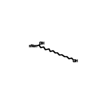 CCCCCCCCCC(O)CCCCCCCCCCCCCCO